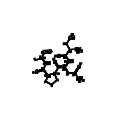 C[C@@H]([C]=O)NC(=O)[C@@H]1CCCN1C(=O)[C@H](CC(N)=O)NC(=O)C(N)CO